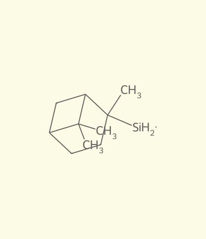 CC1([SiH2])CCC2CC1C2(C)C